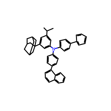 CC(C)c1cc(N(c2ccc(-c3ccccc3)cc2)c2ccc(-c3cccc4ccccc34)cc2)cc(C23CC4CC(CC(C4)C2)C3)c1